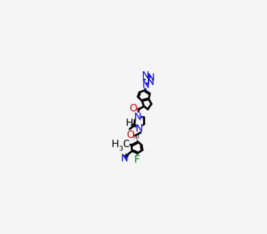 Cc1c([C@H]2CN3CCN(C(=O)C4CCc5cc(-n6cnnn6)ccc54)C[C@H]3CO2)ccc(F)c1C#N